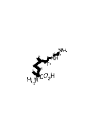 CC(CCC(C)(N)C(=O)O)=C(F)CNCC=N